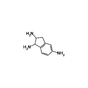 Nc1ccc2c(c1)CC(N)C2N